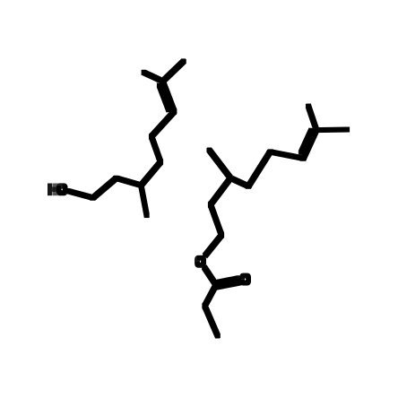 CC(C)=CCCC(C)CCO.CCC(=O)OCCC(C)CCC=C(C)C